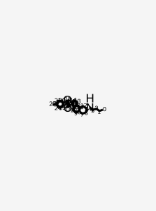 CCCCNC1CCc2ccc3c(ccn3S(=O)(=O)c3ccc(C)cc3)c2C1